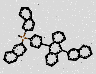 CS(c1ccc(-c2c3ccccc3c(-c3ccc4ccccc4c3)c3ccccc23)cc1)(c1ccc2ccccc2c1)c1ccc2ccccc2c1